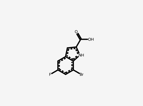 O=C(O)c1cc2cc(F)cc(Br)c2[nH]1